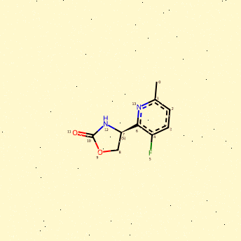 Cc1ccc(F)c([C@H]2COC(=O)N2)n1